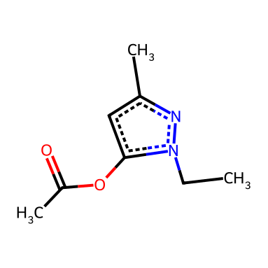 CCn1nc(C)cc1OC(C)=O